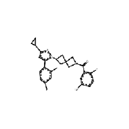 Cc1cc(F)ccc1-c1cc(C2CC2)nn1C1CC2(C1)CN(C(=O)c1cc(O)ccc1F)C2